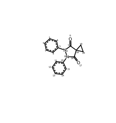 O=C1N(c2ccccc2)N(c2ccccc2)C(=O)C12CC2